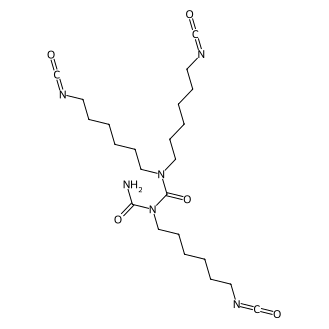 NC(=O)N(CCCCCCN=C=O)C(=O)N(CCCCCCN=C=O)CCCCCCN=C=O